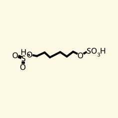 O=[SH](=O)OCCCCCCOS(=O)(=O)O